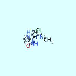 CCNCc1cc(-c2n[nH]c(=O)c3c2NCCC3)ccc1Cl